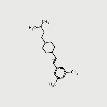 Cc1cc(C)cc(/C=C/C2CCN(CCN(C)C)CC2)c1